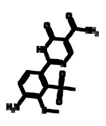 CSc1c(N)ccc(-c2ncc(C(N)=O)c(=O)[nH]2)c1S(C)(=O)=O